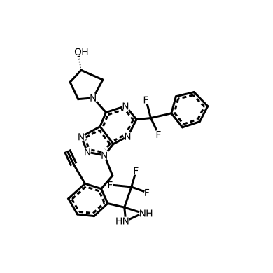 C#Cc1cccc(C2(C(F)(F)F)NN2)c1Cn1nnc2c(N3CC[C@H](O)C3)nc(C(F)(F)c3ccccc3)nc21